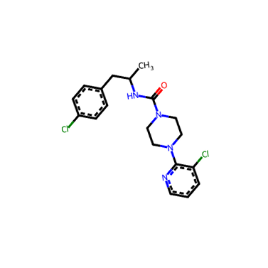 CC(Cc1ccc(Cl)cc1)NC(=O)N1CCN(c2ncccc2Cl)CC1